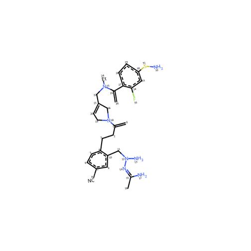 C=C(CCc1ccc(C#N)cc1CN(N)/N=C(/C)N)N1CC=C(CN(CC)C(=C)c2ccc(SN)cc2F)C1